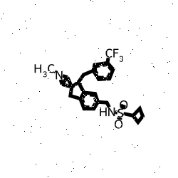 CN1C2C1C21Cc2ccc(CNS(=O)(=O)C3CCC3)cc2C1Cc1cccc(C(F)(F)F)c1